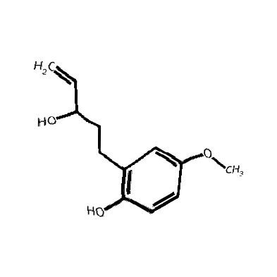 C=CC(O)CCc1cc(OC)ccc1O